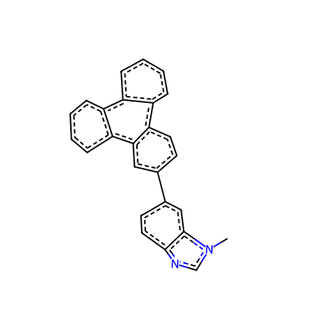 Cn1cnc2ccc(-c3ccc4c5ccccc5c5ccccc5c4c3)cc21